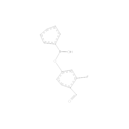 O=Cc1ccc(OB(O)c2ccccc2)cc1F